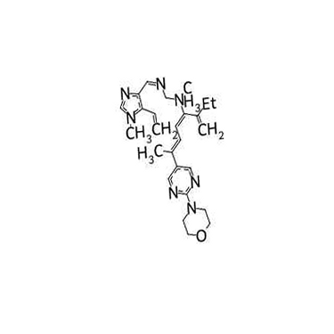 C=Cc1c(/C=N\CN(C)/C(=C/C=C(\C)c2cnc(N3CCOCC3)nc2)C(=C)CC)ncn1C